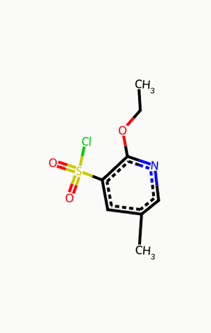 CCOc1ncc(C)cc1S(=O)(=O)Cl